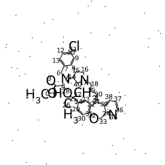 COC(=O)CN(Cc1ccc(Cl)cc1)C1CCN(CC/C=C2\c3cc(C(C)(C)O)ccc3OCc3ncccc32)C1